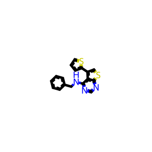 c1ccc(CNc2ncnc3scc(-c4cccs4)c23)cc1